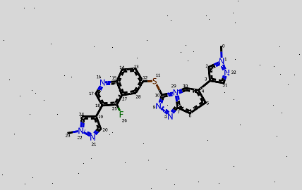 Cn1cc(-c2ccc3nnc(Sc4ccc5ncc(-c6cnn(C)c6)c(F)c5c4)n3c2)cn1